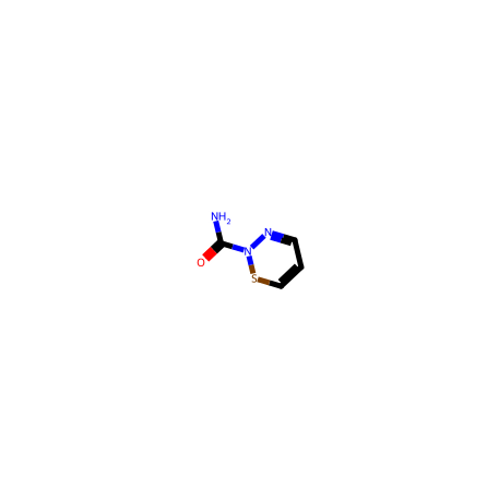 NC(=O)N1N=CC=CS1